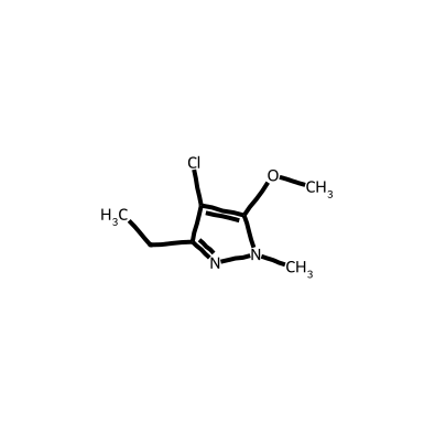 CCc1nn(C)c(OC)c1Cl